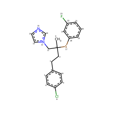 CC(CCc1ccc(Cl)cc1)(Cn1ccnc1)Sc1cccc(F)c1